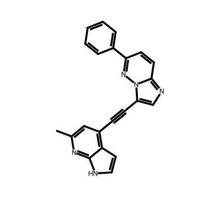 Cc1cc(C#Cc2cnc3ccc(-c4cc[c]cc4)nn23)c2cc[nH]c2n1